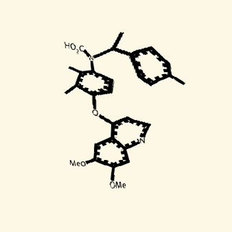 COc1cc2nccc(Oc3ccc(N(C(=O)O)C(C)c4ccc(C)cc4)c(C)c3C)c2cc1OC